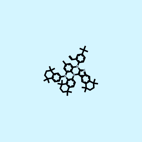 C=Cc1cc(C(C)(C)C)ccc1N1c2cc(C)cc3c2B(c2ccc4c(c2N3c2ccc3c(c2)C(C)(C)CCC3(C)C)C(C)(C)CCC4(C)C)c2c1sc1cc3c(cc21)C(C)(C)CCC3(C)C